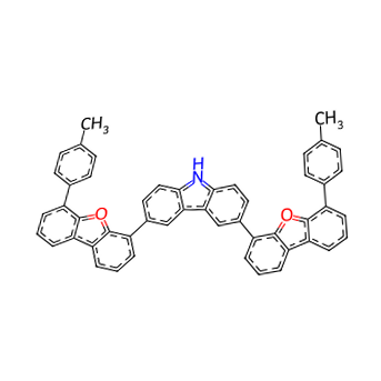 Cc1ccc(-c2cccc3c2oc2c(-c4ccc5[nH]c6ccc(-c7cccc8c7oc7c(-c9ccc(C)cc9)cccc78)cc6c5c4)cccc23)cc1